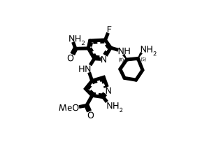 COC(=O)c1cc(Nc2nc(N[C@@H]3CCCC[C@@H]3N)c(F)cc2C(N)=O)cnc1N